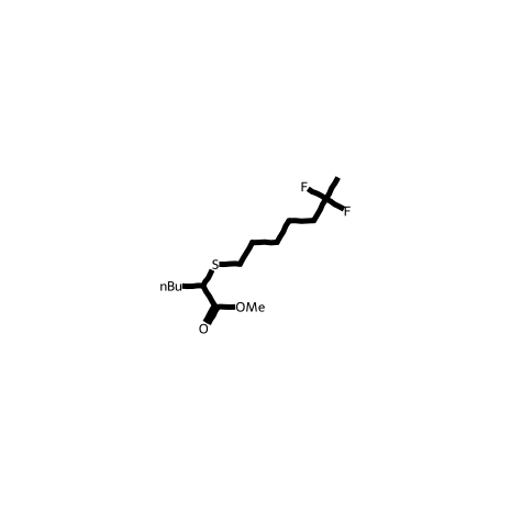 CCCCC(SCCCCCC(C)(F)F)C(=O)OC